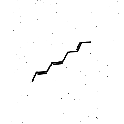 [CH2]C=CC=CCC=C[CH2]